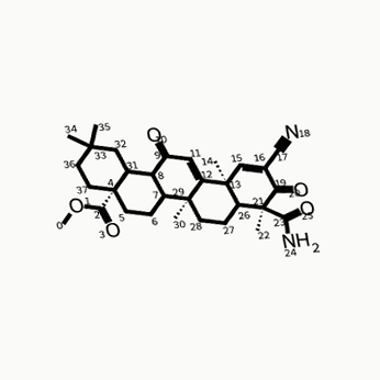 COC(=O)[C@@]12CCC3C(C(=O)C=C4[C@@]5(C)C=C(C#N)C(=O)[C@@](C)(C(N)=O)C5CC[C@]43C)C1CC(C)(C)CC2